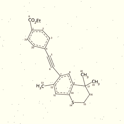 CCOC(=O)c1ccc(C#Cc2cc3c(cc2C)SCCC3(C)C)cc1